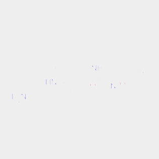 COc1ccc(NC(=O)c2cc(-c3ccco3)on2)cc1C(=O)NCCCN